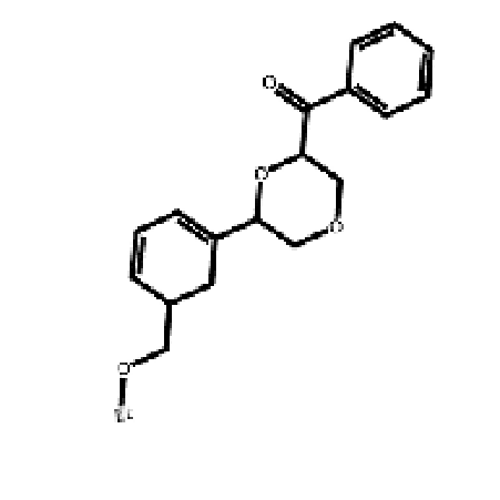 CCOCC1C=CC=C(C2COCC(C(=O)c3ccccc3)O2)C1